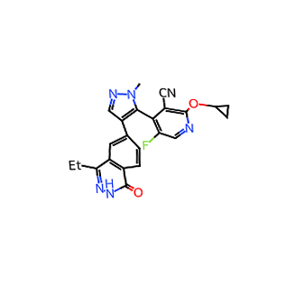 CCc1n[nH]c(=O)c2ccc(-c3cnn(C)c3-c3c(F)cnc(OC4CC4)c3C#N)cc12